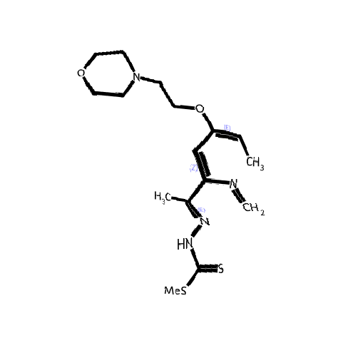 C=NC(=C\C(=C/C)OCCN1CCOCC1)/C(C)=N/NC(=S)SC